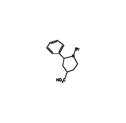 CC(C)N1CCC(C(=O)O)CC1c1ccccc1